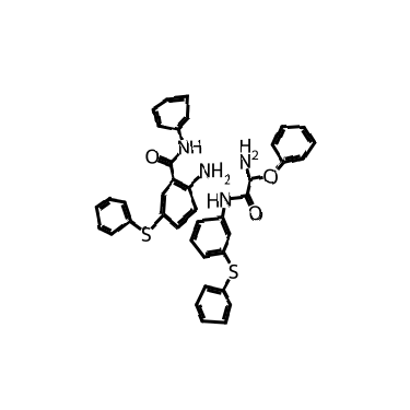 NC(Oc1ccccc1)C(=O)Nc1cccc(Sc2ccccc2)c1.Nc1ccc(Sc2ccccc2)cc1C(=O)Nc1ccccc1